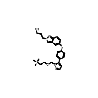 C[Si](C)(C)CCOCn1nccc1-c1ccc(Oc2ccc3nn(CCCO)cc3c2)cc1